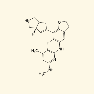 CNc1cc(C)nc(Nc2cc3c(c(C4=C[C@@H]5CNCC5C4)c2F)OCC3)n1